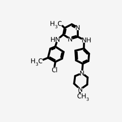 Cc1cc(Nc2nc(Nc3ccc(N4CCN(C)CC4)cc3)ncc2C)ccc1Cl